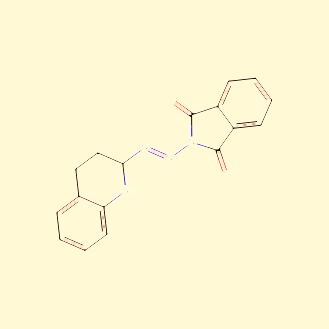 O=C1c2ccccc2C(=O)N1N=NC1CCc2ccccc2N1